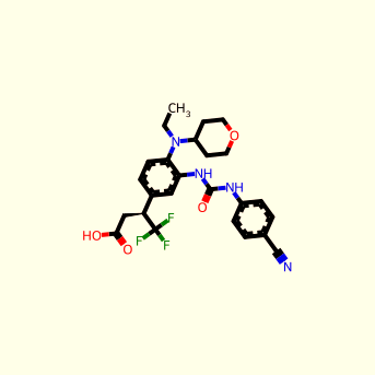 CCN(c1ccc([C@H](CC(=O)O)C(F)(F)F)cc1NC(=O)Nc1ccc(C#N)cc1)C1CCOCC1